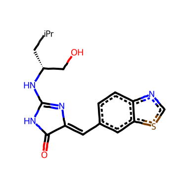 CC(C)C[C@H](CO)NC1=N/C(=C\c2ccc3ncsc3c2)C(=O)N1